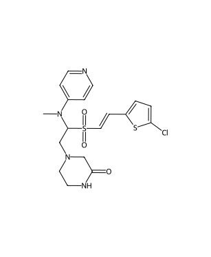 CN(c1ccncc1)C(CN1CCNC(=O)C1)S(=O)(=O)C=Cc1ccc(Cl)s1